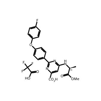 COC(=O)[C@H](C)Nc1cc(C(=O)O)nc(-c2ccc(Oc3ccc(F)cc3)cc2)n1.O=C(O)C(F)(F)F